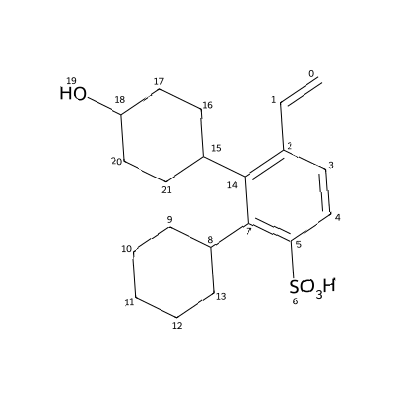 C=Cc1ccc(S(=O)(=O)O)c(C2CCCCC2)c1C1CCC(O)CC1